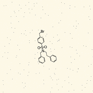 O=S(=O)(c1ccc(CBr)cc1)N(CCc1ccccc1)Cc1ccccc1